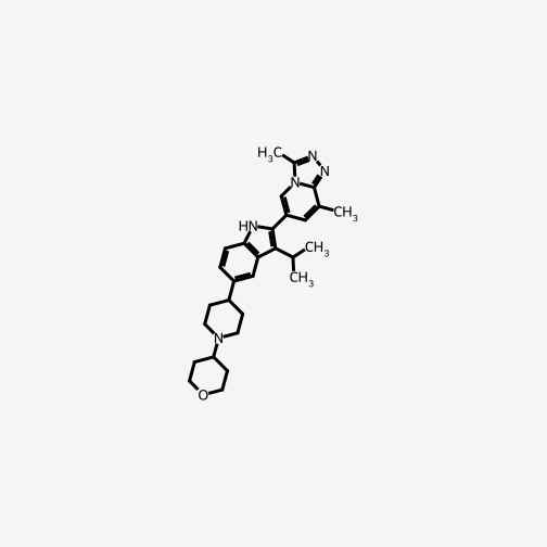 Cc1cc(-c2[nH]c3ccc(C4CCN(C5CCOCC5)CC4)cc3c2C(C)C)cn2c(C)nnc12